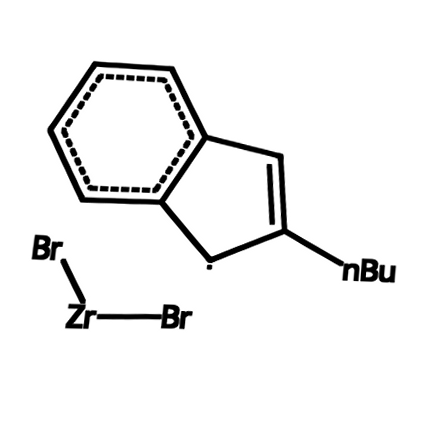 CCCCC1=Cc2ccccc2[CH]1.[Br][Zr][Br]